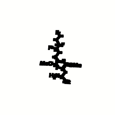 CCC(N)Cc1cc(OC)c(SCC(F)C(F)CCF)cc1OC